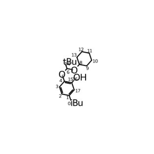 CCC(C)c1ccc(OC(OC2CCCCC2)C(C)(C)C)c(O)c1